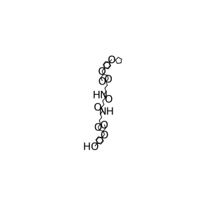 O=C(CCC(=O)NCCCC1OCC(Oc2ccc(OC3CCCC3)cc2)CO1)NCCCC1OCC(Oc2ccc(O)cc2)CO1